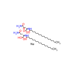 CCCCCCCCCCCCCCCCCC(=O)N[C@@H](CCC(N)=O)C(=O)O.CCCCCCCCCCCCCCCCCC(=O)N[C@@H](CCC(N)=O)C(=O)O.[Na]